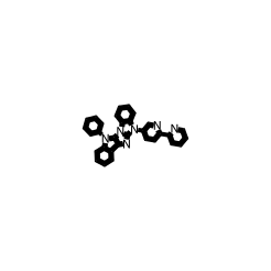 c1ccc(-n2c3ccccc3c3nc4n(-c5ccc(-c6ccccn6)nc5)c5ccccc5n4c32)cc1